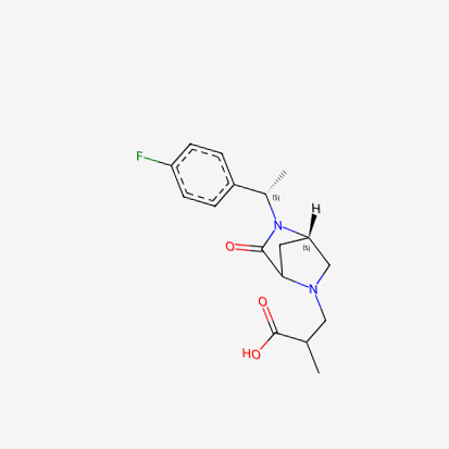 CC(CN1C[C@@H]2CC1C(=O)N2[C@@H](C)c1ccc(F)cc1)C(=O)O